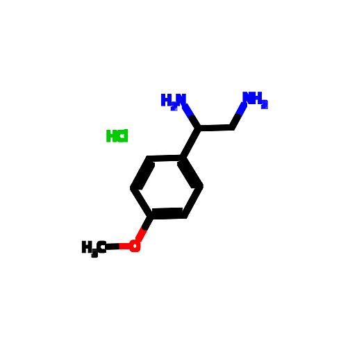 COc1ccc(C(N)CN)cc1.Cl